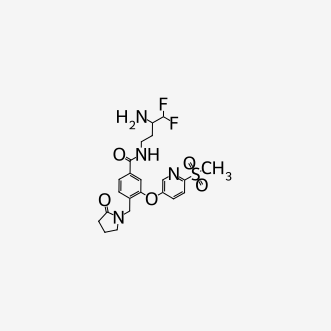 CS(=O)(=O)c1ccc(Oc2cc(C(=O)NCCC(N)C(F)F)ccc2CN2CCCC2=O)cn1